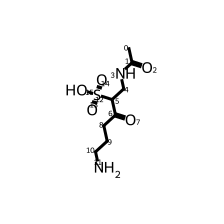 CC(=O)NCC(C(=O)CCCN)S(=O)(=O)O